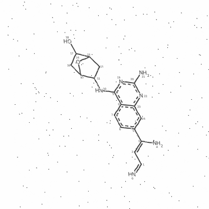 N=C/C=C(\N)c1ccc2c(NC3CC4OC3CC4O)nc(N)nc2c1